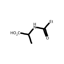 [CH2]CC(=O)NC(C)C(=O)O